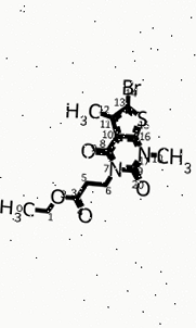 CCOC(=O)CCn1c(=O)c2c(C)c(Br)sc2n(C)c1=O